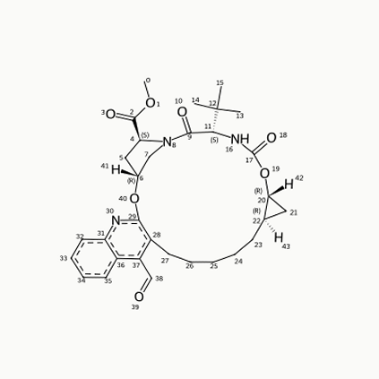 COC(=O)[C@@H]1C[C@@H]2CN1C(=O)[C@H](C(C)(C)C)NC(=O)O[C@@H]1C[C@H]1CCCCCc1c(nc3ccccc3c1C=O)O2